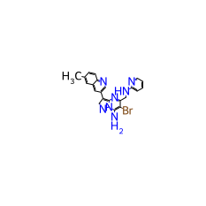 Cc1ccc2ncc(-c3cnn4c(N)c(Br)c(CNc5ccccn5)nc34)cc2c1